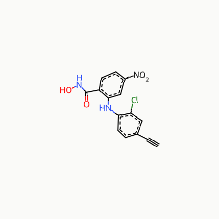 C#Cc1ccc(Nc2cc([N+](=O)[O-])ccc2C(=O)NO)c(Cl)c1